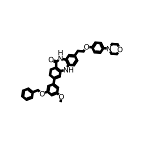 COc1cc(OCc2ccccc2)cc(C2=CC3=C(CC2)C(=O)Nc2cc(CCOc4ccc(N5CCOCC5)cc4)ccc2N3)c1